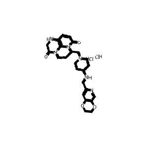 Cl.Cl.O=C1CNc2ccc(=O)n3c2N1CCC3CN1CCC(NCc2cc3c(cn2)OCCO3)CC1